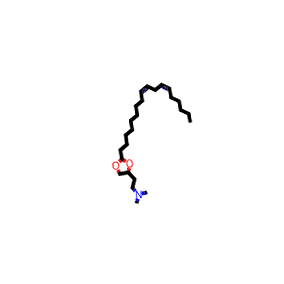 CCCCC/C=C\C/C=C\CCCCCCCCC1OCC(CCN(C)C)O1